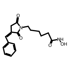 O=C(CCCCCN1C(=O)CC(=Cc2ccccc2)C1=O)NO